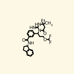 CC[C@@]1(C)CC(=O)N(C(CCOC(F)F)c2cccc(C(=O)N[C@H]3CCc4ccccc43)c2)C(=N)N1